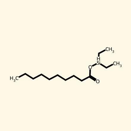 CCCCCCCCCC(=O)O[SiH](CC)CC